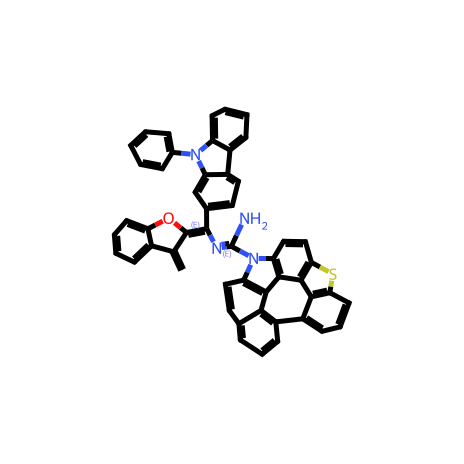 C=c1/c(=C(\N=C(/N)n2c3ccc4cccc5c4c3c3c4c(ccc32)sc2cccc-5c24)c2ccc3c4ccccc4n(-c4ccccc4)c3c2)oc2ccccc12